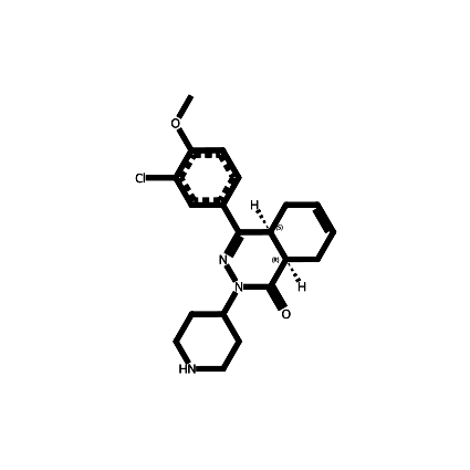 COc1ccc(C2=NN(C3CCNCC3)C(=O)[C@@H]3CC=CC[C@H]23)cc1Cl